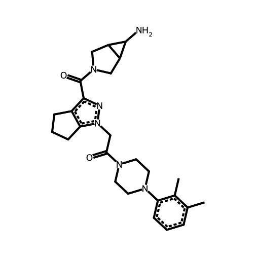 Cc1cccc(N2CCN(C(=O)Cn3nc(C(=O)N4CC5C(N)C5C4)c4c3CCC4)CC2)c1C